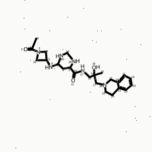 CC(=O)N1CC(NC2CC(C(=O)NCC(C)(O)CN3CCc4ccccc4C3)NCN2)C1